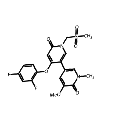 COc1cc(-c2cn(CS(C)(=O)=O)c(=O)cc2Oc2ccc(F)cc2F)cn(C)c1=O